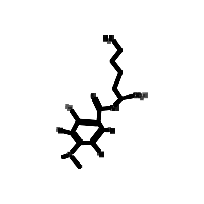 [2H]c1c([2H])c(N(C)C)c([2H])c([2H])c1C(=O)N[C@@H](CCCCN)C(=O)O